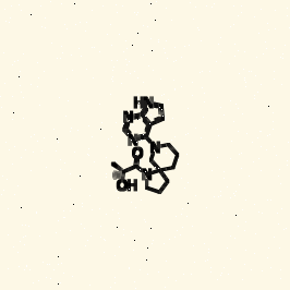 C[C@H](O)C(=O)N1CCCC12CCCN(c1ncnc3[nH]ccc13)C2